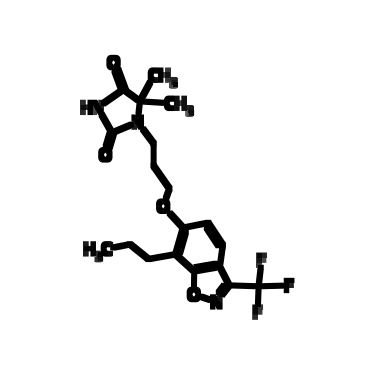 CCCc1c(OCCCN2C(=O)NC(=O)C2(C)C)ccc2c(C(F)(F)F)noc12